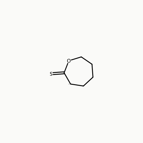 S=C1[CH]CCCCO1